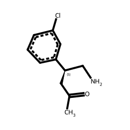 CC(=O)C[C@H](CN)c1cccc(Cl)c1